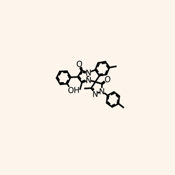 CC1=NN(c2ccc(C)cc2)C(=O)C12c1cc(C)ccc1-n1c(=O)c(-c3ccccc3O)c(C)n12